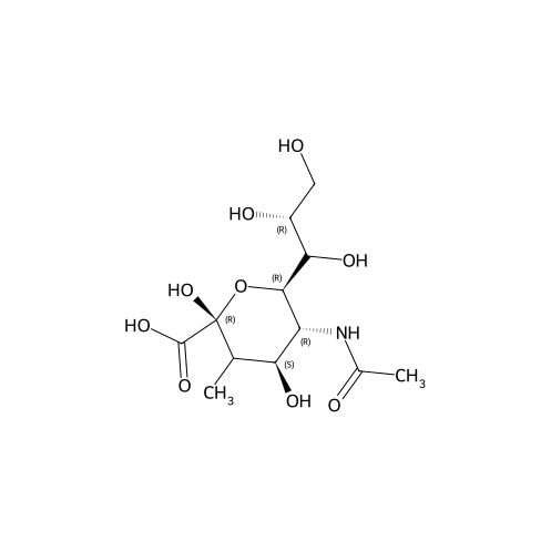 CC(=O)N[C@@H]1[C@@H](O)C(C)[C@](O)(C(=O)O)O[C@H]1C(O)[C@H](O)CO